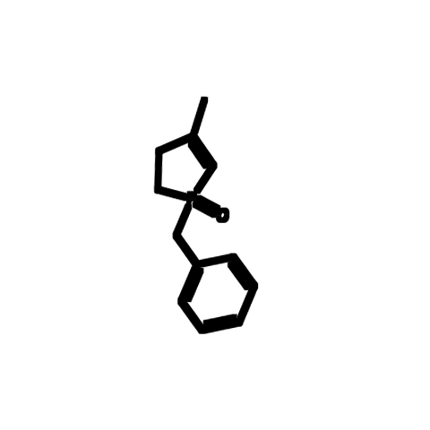 CC1=CP(=O)(Cc2ccccc2)CC1